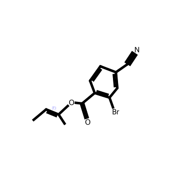 C/C=C(\C)OC(=O)c1ccc(C#N)cc1Br